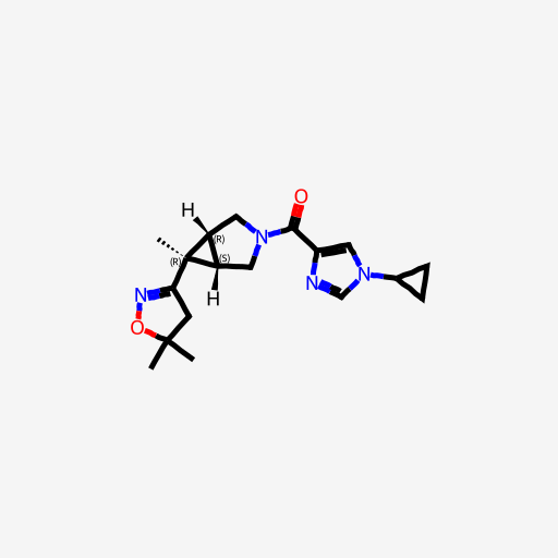 CC1(C)CC([C@@]2(C)[C@@H]3CN(C(=O)c4cn(C5CC5)cn4)C[C@@H]32)=NO1